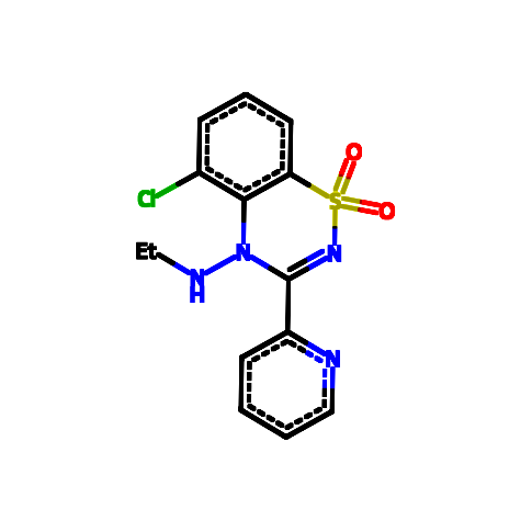 CCNN1C(c2ccccn2)=NS(=O)(=O)c2cccc(Cl)c21